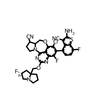 N#Cc1c(N)sc2c(F)ccc(-c3c(Cl)c4c5c(nc(OCC67CCCN6C[C@H](F)C7)nc5c3F)N3CCC(C#N)C3CO4)c12